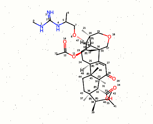 CNC(=N)NC(C)CO[C@H]1[C@H](OC(C)=O)C[C@]23COC[C@@]1(C)[C@@H]2CC[C@H]1C3=CC(=O)[C@@]2(C)[C@H](C(=O)O)[C@@](C)([C@H](C)C(C)C)CC[C@]12C